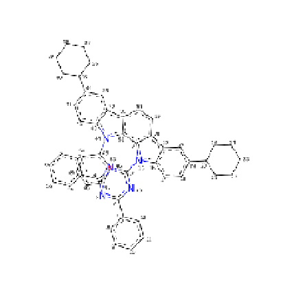 c1ccc(-c2nc(-c3ccccc3)nc(-n3c4ccc(C5CCCCC5)cc4c4ccc5c6cc(C7CCCCC7)ccc6n(-c6ccccc6)c5c43)n2)cc1